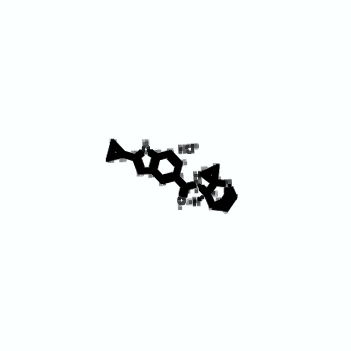 Cl.O=C(N[C@@H]1C2CCN(CC2)C12CC2)c1ccc2oc(C3CC3)cc2c1